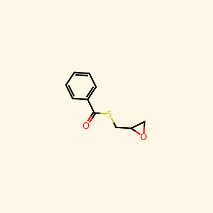 O=C(SCC1CO1)c1ccccc1